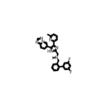 Cc1cccc(-c2nc(CN(I)Cc3ccccc3-c3cc(F)cc(F)c3)[nH]c2-c2ccc3ncnn3c2)n1